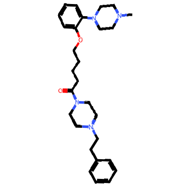 CN1CCN(c2ccccc2OCCCCC(=O)N2CCN(CCc3ccccc3)CC2)CC1